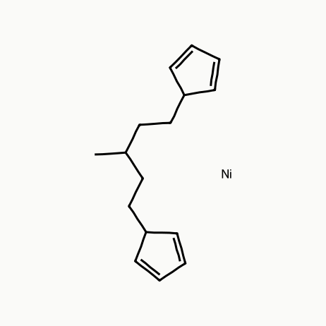 CC(CCC1C=CC=C1)CCC1C=CC=C1.[Ni]